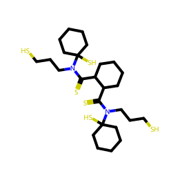 S=C(C1CCCCC1C(=S)N(CCCS)C1(S)CCCCC1)N(CCCS)C1(S)CCCCC1